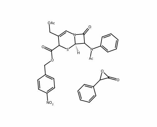 CC(=O)OCC1=CN2C(=O)C(N(C(C)=O)c3ccccc3)[C@H]2SC1C(=O)OCc1ccc([N+](=O)[O-])cc1.O=C1OC1c1ccccc1